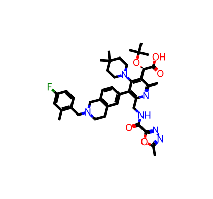 Cc1nnc(C(=O)NCc2nc(C)c([C@H](OC(C)(C)C)C(=O)O)c(N3CCC(C)(C)CC3)c2-c2ccc3c(c2)CCN(Cc2ccc(F)cc2C)C3)o1